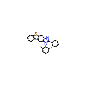 Cc1cccc(C)c1-n1c(-c2ccccc2)nc2cc3sc4ccccc4c3cc21